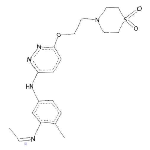 C/C=N\c1cc(Nc2ccc(OCCN3CCS(=O)(=O)CC3)nn2)ccc1C